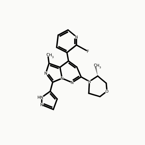 Cc1nc(-c2ccn[nH]2)n2nc(N3CCOC[C@H]3C)cc(-c3cccnc3F)c12